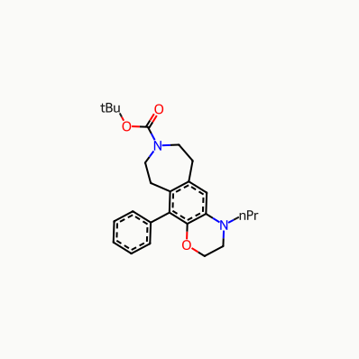 CCCN1CCOc2c1cc1c(c2-c2ccccc2)CCN(C(=O)OC(C)(C)C)CC1